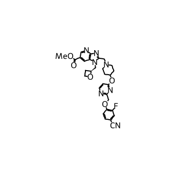 COC(=O)c1cnc2nc(CN3CCC(Oc4ccnc(COc5ccc(C#N)cc5F)n4)CC3)n(C[C@@H]3CCO3)c2c1